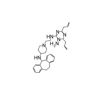 C=CCC1=NC(CC=C)N(N)C(NCCN2CCC(NC3c4ccccc4CCc4ccccc43)CC2)=N1